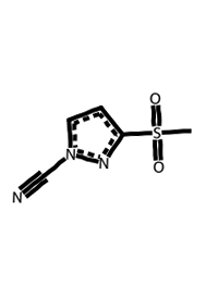 CS(=O)(=O)c1ccn(C#N)n1